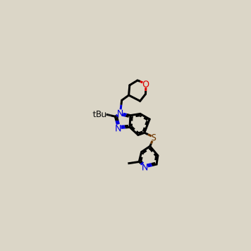 Cc1cc(Sc2ccc3c(c2)nc(C(C)(C)C)n3CC2CCOCC2)ccn1